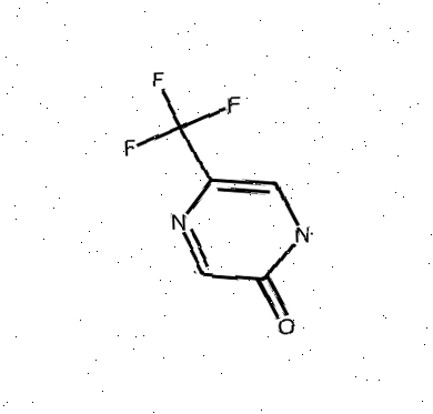 O=C1[C]=NC(C(F)(F)F)=C[N]1